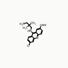 COc1ccc2nc3cc(Cl)ccc3c(NCC(C)(C)CN)c2c1